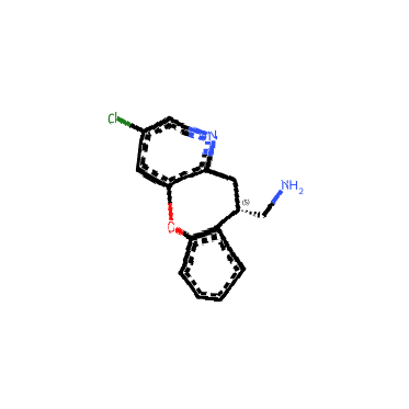 NC[C@H]1Cc2ncc(Cl)cc2Oc2ccccc21